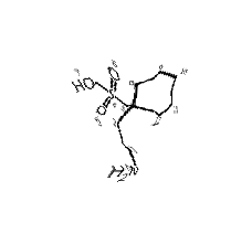 NCCC1(S(=O)(=O)O)CCCCC1